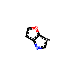 c1cc2nc[se]c2o1